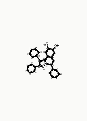 Oc1cc2cc(-c3ccccc3)n3nc(-c4ccccc4)c(-c4ccccc4)c3c2cc1O